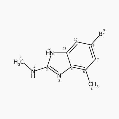 CNc1nc2c(C)cc(Br)cc2[nH]1